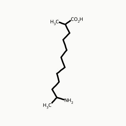 CC(N)CCCCCCCCC(C)C(=O)O